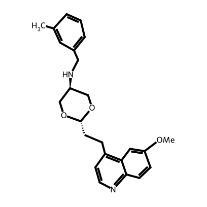 COc1ccc2nccc(CC[C@H]3OC[C@H](NCc4cccc(C)c4)CO3)c2c1